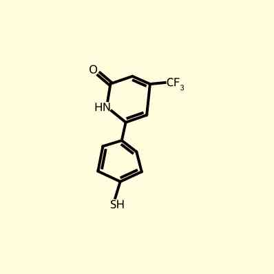 O=c1cc(C(F)(F)F)cc(-c2ccc(S)cc2)[nH]1